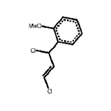 COc1ccccc1C(Cl)C=CCl